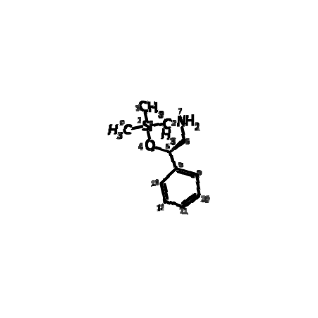 C[Si](C)(C)O[C@@H](CN)c1ccccc1